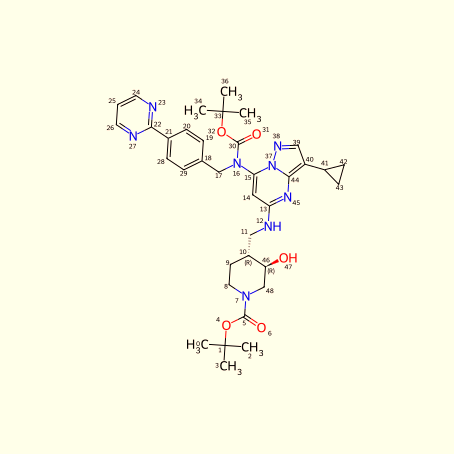 CC(C)(C)OC(=O)N1CC[C@H](CNc2cc(N(Cc3ccc(-c4ncccn4)cc3)C(=O)OC(C)(C)C)n3ncc(C4CC4)c3n2)[C@@H](O)C1